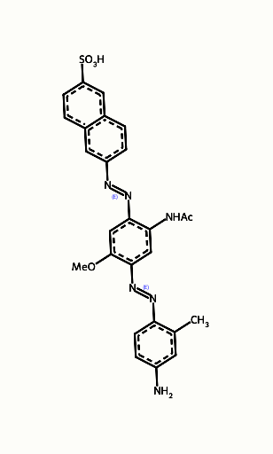 COc1cc(/N=N/c2ccc3cc(S(=O)(=O)O)ccc3c2)c(NC(C)=O)cc1/N=N/c1ccc(N)cc1C